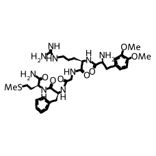 COc1ccc(C[C@H](N)C(=O)N[C@H](CCCNC(=N)N)C(=O)NCC(=O)N[C@@H](Cc2ccccc2)C(=O)N[C@@H](CCSC)C(N)=O)cc1OC